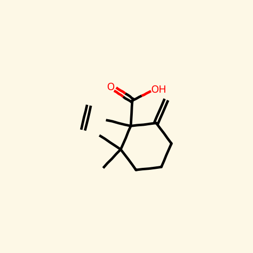 C=C.C=C1CCCC(C)(C)C1(C)C(=O)O